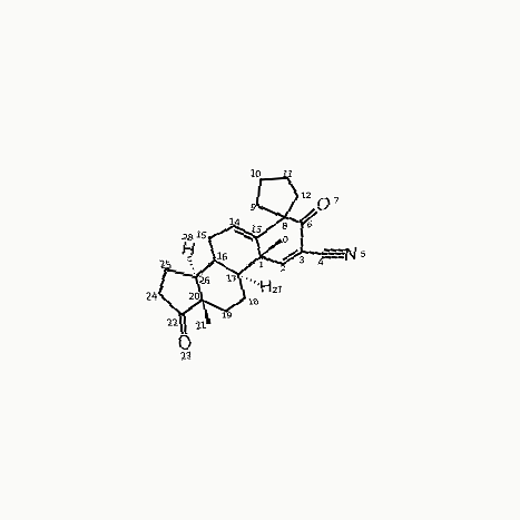 C[C@]12C=C(C#N)C(=O)C3(CCCC3)C1=CCC1[C@@H]2CC[C@]2(C)C(=O)CC[C@@H]12